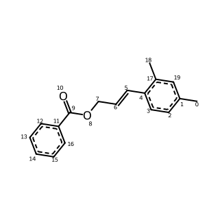 Cc1ccc(C=CCOC(=O)c2ccccc2)c(C)c1